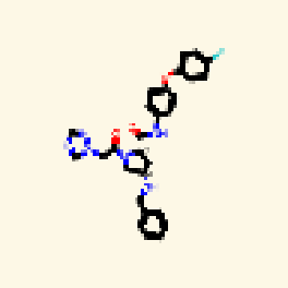 O=C(Nc1ccc(Oc2ccc(F)cc2)cc1)[C@@H]1C[C@H](NCc2ccccc2)CN1C(=O)Cn1cncn1